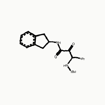 CCCC(NC(C)(C)C)C(=O)C(=O)NC1Cc2ccccc2C1